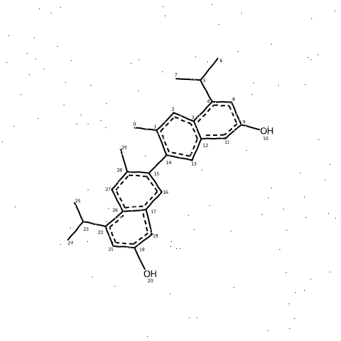 Cc1cc2c(C(C)C)cc(O)cc2cc1-c1cc2cc(O)cc(C(C)C)c2cc1C